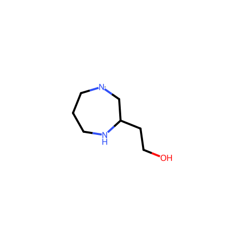 OCCC1C[N]CCCN1